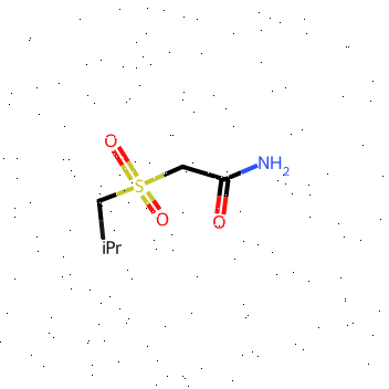 CC(C)CS(=O)(=O)CC(N)=O